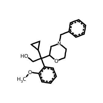 COc1ccccc1C(CO)(C1CC1)C1CN(Cc2ccccc2)CCO1